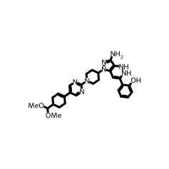 COC(OC)C1CC=C(c2cnc(N3CCC(n4nc(N)c5c4C=C(c4ccccc4O)NN5)CC3)nc2)CC1